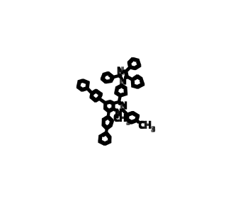 Cc1ccc(C2N=C(c3ccc(-n4c(-c5ccccc5)nc(-c5ccccc5)c4-c4ccccc4)cc3)c3cc(-c4ccc(-c5ccccc5)cc4)cc(-c4ccc(-c5ccccc5)cc4)c3N2C)cc1